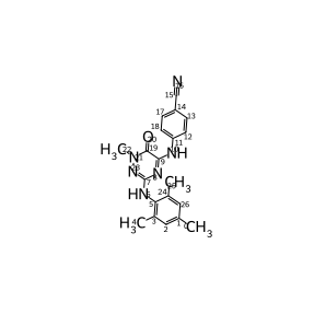 Cc1cc(C)c(Nc2nc(Nc3ccc(C#N)cc3)c(=O)n(C)n2)c(C)c1